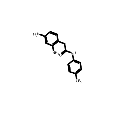 Nc1ccc(CC(=O)Nc2ccc(C(F)(F)F)cc2)c(N)c1